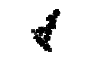 CC(C)N1CCC2(CCC(c3ccc(Cl)cc3)=C(CN3CCN(c4ccc(C(=O)NS(=O)(=O)c5ccc(NCC6CCOCC6)c([N+](=O)[O-])c5)c(Oc5cnc(N)c(Cl)c5)c4)CC3)C2)CC1